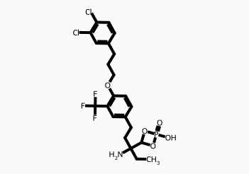 CCC(N)(CCc1ccc(OCCCc2ccc(Cl)c(Cl)c2)c(C(F)(F)F)c1)C1OP(=O)(O)O1